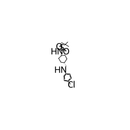 CC(C)(C)S(=O)(=O)N[C@H]1CC[C@H](CNc2ccc(Cl)cc2)CC1